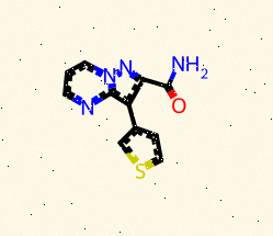 NC(=O)c1nn2cccnc2c1-c1ccsc1